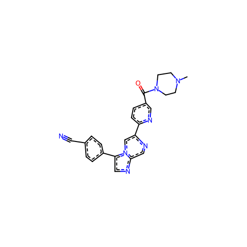 CN1CCN(C(=O)c2ccc(-c3cn4c(-c5ccc(C#N)cc5)cnc4cn3)nc2)CC1